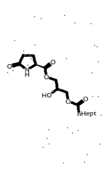 CCCCCCCC(=O)OCC(O)COC(=O)[C@@H]1CCC(=O)N1